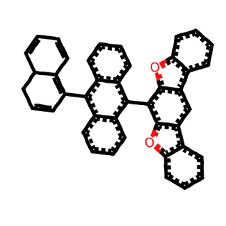 C1=CC2=C(c3c4ccccc4c(-c4c5oc6ccccc6c5cc5c4oc4ccccc45)c4ccccc34)C=CCC2C=C1